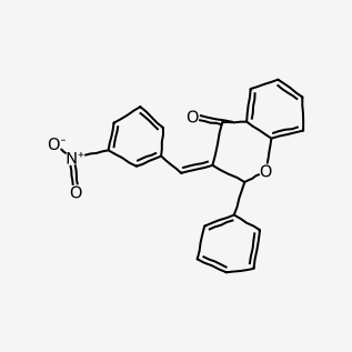 O=C1C(=Cc2cccc([N+](=O)[O-])c2)C(c2ccccc2)Oc2ccccc21